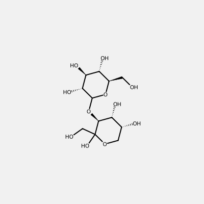 OC[C@H]1OC(O[C@H]2[C@H](O)[C@H](O)COC2(O)CO)[C@H](O)[C@@H](O)[C@@H]1O